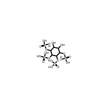 O=P(O)(O)OC1C(O)C(O)C(OP(=O)(O)O)C(OP(=O)(O)O)C1OP(=O)(O)O